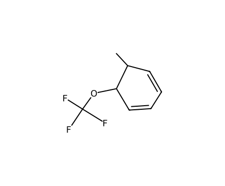 CC1C=CC=CC1OC(F)(F)F